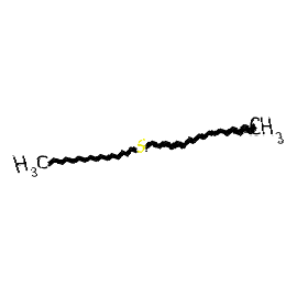 CCCCCCCCCCCCCCCCCCC[CH]SCCCCCCCCCCCCCCCCCC